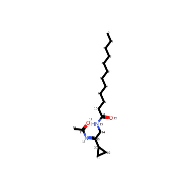 CCCCCCCCCCCC(=O)N[CH]C(=NC(C)=O)[C]1CC1